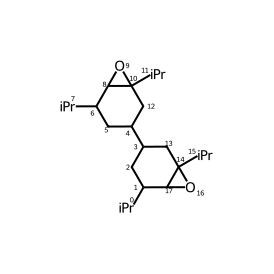 CC(C)C1CC(C2CC(C(C)C)C3OC3(C(C)C)C2)CC2(C(C)C)OC12